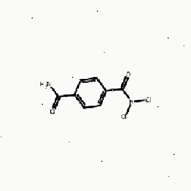 NC(=O)c1ccc(C(=O)N(Cl)Cl)cc1